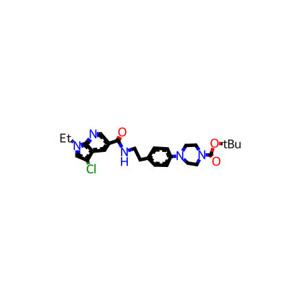 CCn1cc(Cl)c2cc(C(=O)NCCc3ccc(N4CCN(C(=O)OC(C)(C)C)CC4)cc3)cnc21